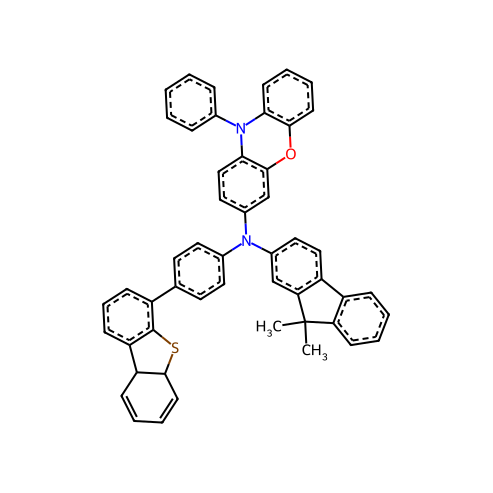 CC1(C)c2ccccc2-c2ccc(N(c3ccc(-c4cccc5c4SC4C=CC=CC54)cc3)c3ccc4c(c3)Oc3ccccc3N4c3ccccc3)cc21